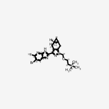 C[C@@]12Cc3c(c(-c4nc5cc(Br)c(F)nc5[nH]4)nn3COCC[Si](C)(C)C)C[C@@H]1C2